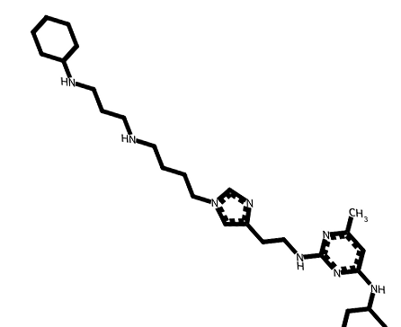 Cc1cc(NC2CCNCC2)nc(NCCc2cn(CCCCNCCCNC3CCCCC3)cn2)n1